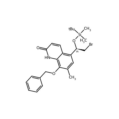 Cc1cc([C@H](CBr)O[Si](C)(C)C(C)(C)C)c2ccc(=O)[nH]c2c1OCc1ccccc1